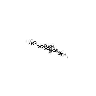 C=CC(=O)OCCCCOc1ccc(C(=O)Oc2ccc(OC(=O)c3ccc(OCCOC(=O)C=C)cc3)c(C)c2)cc1